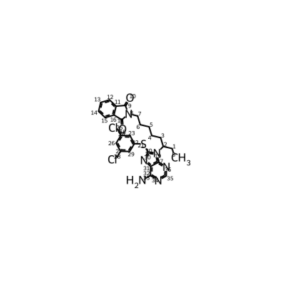 CCC(CCCCCN1C(=O)c2ccccc2C1=O)n1c(Sc2cc(Cl)cc(Cl)c2)nc2c(N)ncnc21